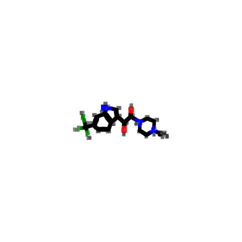 CN1CCN(C(=O)C(=O)c2c[nH]c3cc(C(F)(F)F)ccc23)CC1